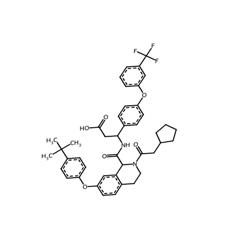 CC(C)(C)c1ccc(Oc2ccc3c(c2)C(C(=O)NC(CC(=O)O)c2ccc(Oc4cccc(C(F)(F)F)c4)cc2)N(C(=O)CC2CCCC2)CC3)cc1